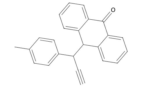 C#CC(c1ccc(C)cc1)C1c2ccccc2C(=O)c2ccccc21